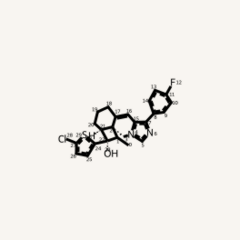 CC1[C@]23Cn4cnc(-c5ccc(F)cc5)c4C=C2CCC[C@@H]3[C@]1(O)c1ccc(Cl)s1